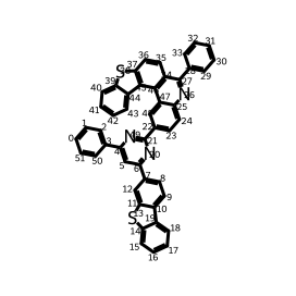 c1ccc(-c2cc(-c3ccc4c(c3)sc3ccccc34)nc(-c3ccc4nc(-c5ccccc5)c5ccc6sc7ccccc7c6c5c4c3)n2)cc1